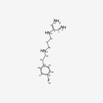 N=C/C(=C\N)NCCCNCCc1ccc(F)cc1